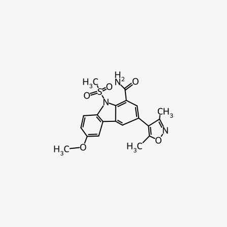 COc1ccc2c(c1)c1cc(-c3c(C)noc3C)cc(C(N)=O)c1n2S(C)(=O)=O